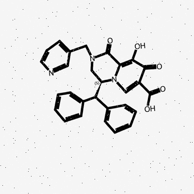 O=C(O)c1cn2c(c(O)c1=O)C(=O)N(Cc1cccnc1)C[C@@H]2C(c1ccccc1)c1ccccc1